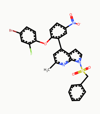 Cc1cc(-c2cc([N+](=O)[O-])ccc2Oc2ccc(Br)cc2F)c2ccn(S(=O)(=O)Cc3ccccc3)c2n1